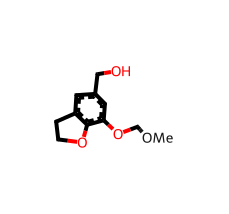 COCOc1cc(CO)cc2c1OCC2